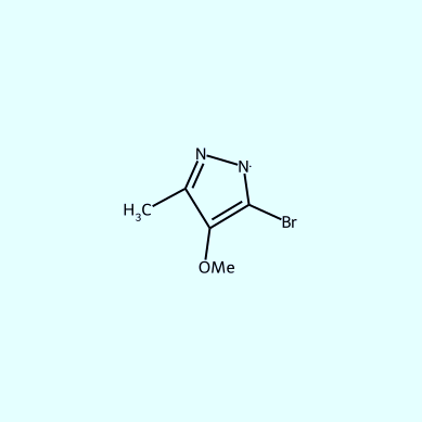 COC1=C(Br)[N]N=C1C